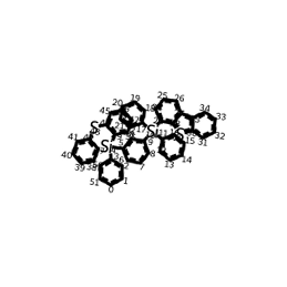 c1ccc([Si]2(c3cccc([Si](c4ccccc4)(c4ccccc4)c4cccc5c4sc4ccccc45)c3)c3ccccc3Sc3ccccc32)cc1